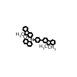 CC1(C)c2ccccc2-c2ccc(-c3ccc(N(c4ccc5c(c4)C(C)(C)c4ccccc4-5)c4cccc5ccccc45)cc3)cc21